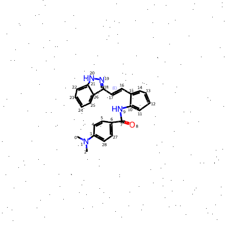 CN(C)c1ccc(C(=O)Nc2ccccc2/C=C/c2n[nH]c3ccccc23)cc1